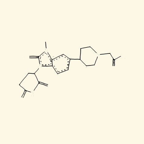 Cn1c(=O)n(C2CCC(=O)NC2=O)c2ccc(C3CCN(CC(=O)O)CC3)cc21